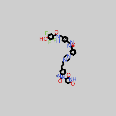 Cn1c(=O)n([C@@H]2CCC(=O)NC2=O)c2ccc(CCCN3CCN(c4cccc(-c5nc(C67CCC(CNC(=O)c8cc(F)c(O)c(F)c8F)(CC6)CC7)no5)c4)CC3)cc21